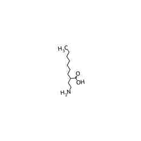 CCCCCCCC(CCN)C(=O)O